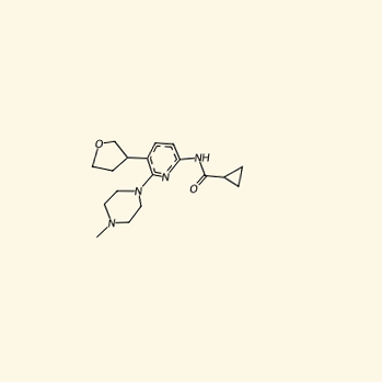 CN1CCN(c2nc(NC(=O)C3CC3)ccc2C2CCOC2)CC1